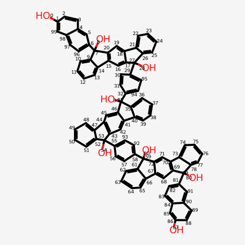 Oc1ccc2cc(C3(O)c4ccccc4-c4cc5c(cc43)-c3ccccc3C5(O)c3ccc(C4(O)c5ccccc5-c5cc6c(cc54)-c4ccccc4C6(O)c4ccc(C5(O)c6ccccc6-c6cc7c(cc65)-c5ccccc5C7(O)c5ccc6cc(O)ccc6c5)cc4)cc3)ccc2c1